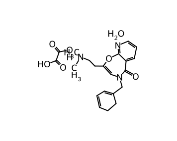 CN(C)CCC1=CN(CC2=CC=CCC2)C(=O)c2cccnc2O1.O.O=C(O)C(=O)O